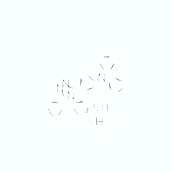 Cc1ccc(-n2c(-c3ccccc3)nnc2-c2ccc(-n3c4ccccc4c4ccccc43)cc2)cc1C